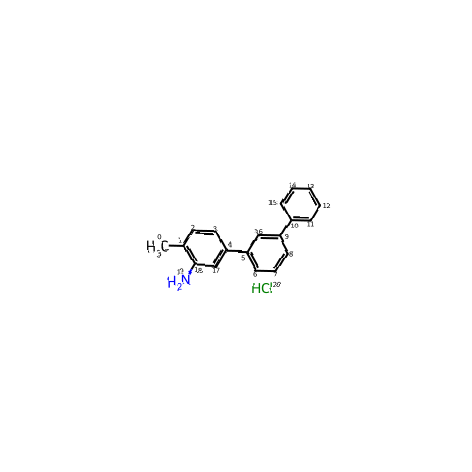 Cc1ccc(-c2cccc(-c3ccccc3)c2)cc1N.Cl